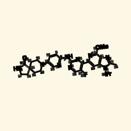 COc1nc(-c2nc(Nc3ccc(N4CCC5(CCNC5=O)CC4)cn3)ncc2F)cc2c1nc(C)n2C(C)C